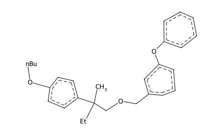 CCCCOc1ccc(C(C)(CC)COCc2cccc(Oc3ccccc3)c2)cc1